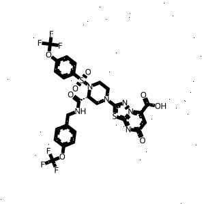 O=C(O)c1cc(=O)nc2sc(N3CCN(S(=O)(=O)c4ccc(OC(F)(F)F)cc4)[C@@H](C(=O)NCc4ccc(OC(F)(F)F)cc4)C3)nn12